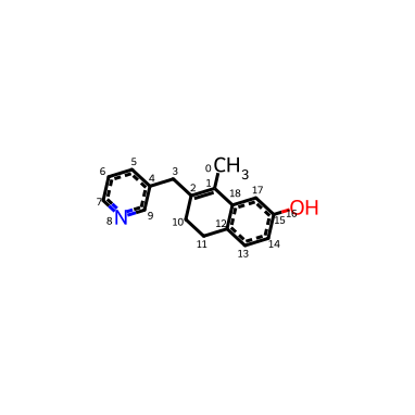 CC1=C(Cc2cccnc2)CCc2ccc(O)cc21